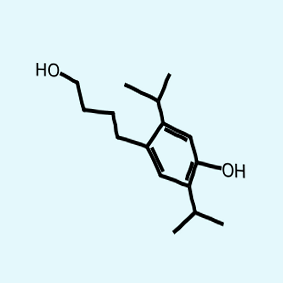 CC(C)c1cc(CCCCO)c(C(C)C)cc1O